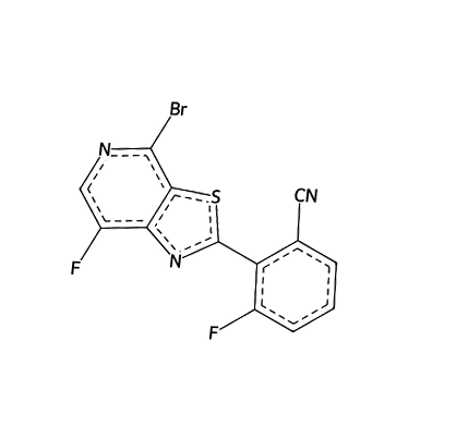 N#Cc1cccc(F)c1-c1nc2c(F)cnc(Br)c2s1